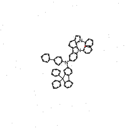 c1ccc(-c2ccc(N(c3ccc4c(c3)C(c3ccccc3)(c3ccccc3)c3ccccc3-4)c3ccc4c(c3)c3ccc5ccn(-c6ccccc6)c5c3n4-c3ccccc3)cc2)cc1